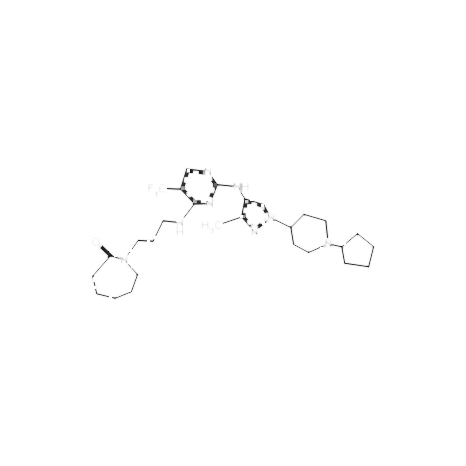 Cc1nn(C2CCN(C3CCCC3)CC2)cc1Nc1ncc(C(F)(F)F)c(NCCCN2CCCCCC2=O)n1